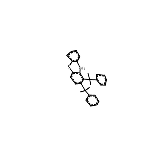 CC(C)(c1ccccc1)c1ccc2c(c1C(C)(C)c1ccccc1)Nc1ccccc1S2